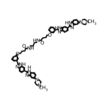 CN1CCN(c2ccc3[nH]c(-c4ccc5nc(-c6cccc(OCCCC(=O)NCCCCNC(=O)CCCOc7cccc(-c8nc9ccc(-c%10nc%11cc(N%12CCN(C)CC%12)ccc%11[nH]%10)cc9[nH]8)c7)c6)[nH]c5c4)nc3c2)CC1